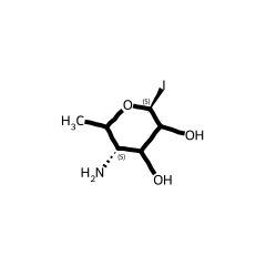 CC1O[C@@H](I)C(O)C(O)[C@@H]1N